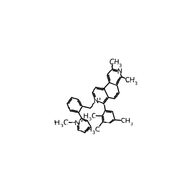 Cc1cc(C)c(C)c(-c2c3ccc4c(C)nc(C)cc4c3cc[n+]2Cc2ccccc2-c2cccc[n+]2C)c1